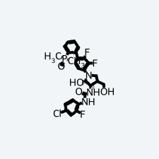 CP(C)(=O)c1ccccc1-c1ccc(N2CC(CO)[C@@H](NC(=O)Nc3ccc(Cl)cc3F)[C@H]2O)c(F)c1F